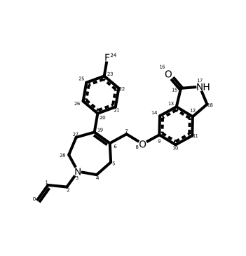 C=CCN1CCC(COc2ccc3c(c2)C(=O)NC3)=C(c2ccc(F)cc2)CC1